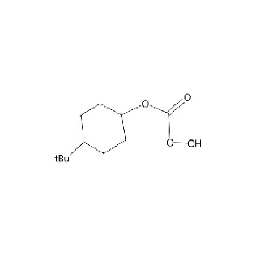 CC(C)(C)C1CCC(OC(=O)OO)CC1